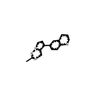 Cc1ncc2c(-c3ccc4ncccc4c3)ccn2n1